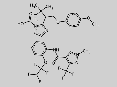 COc1ccc(OCC(c2nccn2C(=O)O)C(C)(C)C)cc1.Cn1cc(C(=O)Nc2ccccc2OC(F)(F)C(F)F)c(C(F)(F)F)n1